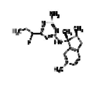 CCC(F)c1nc(N)nc(N[C@@]2(C)c3cc(C)ccc3C[C@@H]2C)n1